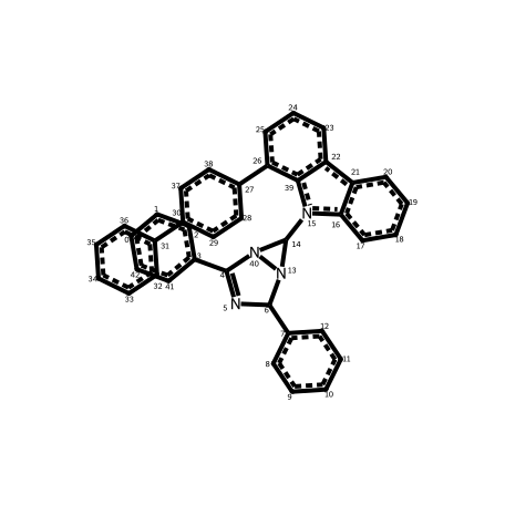 c1ccc(C2=NC(c3ccccc3)N3C(n4c5ccccc5c5cccc(-c6ccc(-c7ccccc7)cc6)c54)N23)cc1